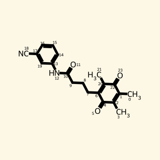 CC1=C(C)C(=O)C(CCCC(=O)Nc2cccc(C#N)c2)=C(C)C1=O